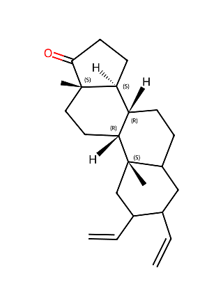 C=CC1CC2CC[C@@H]3[C@@H](CC[C@]4(C)C(=O)CC[C@@H]34)[C@@]2(C)CC1C=C